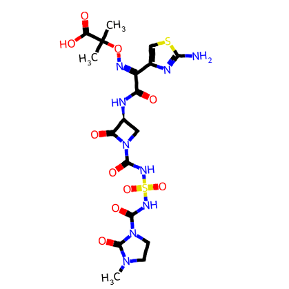 CN1CCN(C(=O)NS(=O)(=O)NC(=O)N2C[C@H](NC(=O)C(=NOC(C)(C)C(=O)O)c3csc(N)n3)C2=O)C1=O